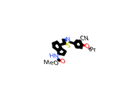 COC(=O)NC1CCc2c(-c3cnc(-c4ccc(OC(C)C)c(C#N)c4)s3)cccc21